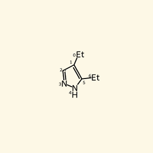 CCc1[c]n[nH]c1CC